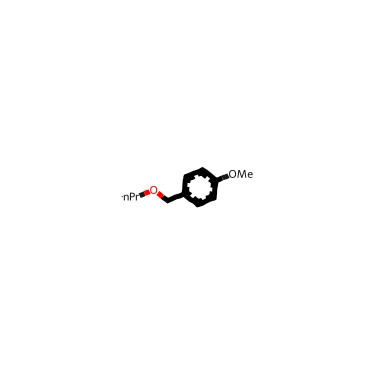 CC[CH]OCc1ccc(OC)cc1